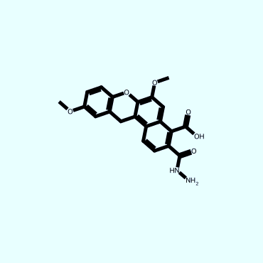 COc1ccc2c(c1)Cc1c(c(OC)cc3c(C(=O)O)c(C(=O)NN)ccc13)O2